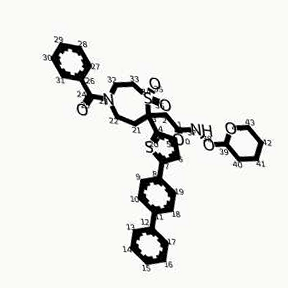 O=C(CC1(c2ccc(-c3ccc(-c4ccccc4)cc3)s2)CCN(C(=O)c2ccccc2)CCS1(=O)=O)NOC1CCCCO1